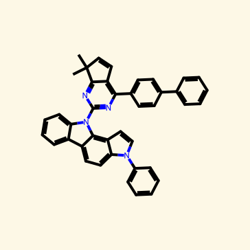 CC1(C)C=Cc2c(-c3ccc(-c4ccccc4)cc3)nc(-n3c4ccccc4c4ccc5c(ccn5-c5ccccc5)c43)nc21